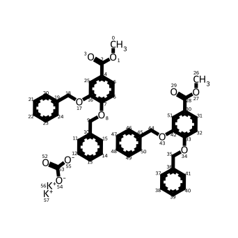 COC(=O)c1ccc(OCc2ccccc2)c(OCc2ccccc2)c1.COC(=O)c1ccc(OCc2ccccc2)c(OCc2ccccc2)c1.O=C([O-])[O-].[K+].[K+]